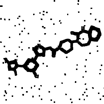 Cc1cn(C)c(-c2cc(Cl)cc(-c3nnc(CC(=O)N4CCC(N5CCc6ccccc6NC5=O)CC4)o3)c2)n1